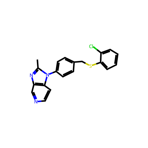 Cc1nc2cnccc2n1-c1ccc(CSc2ccccc2Cl)cc1